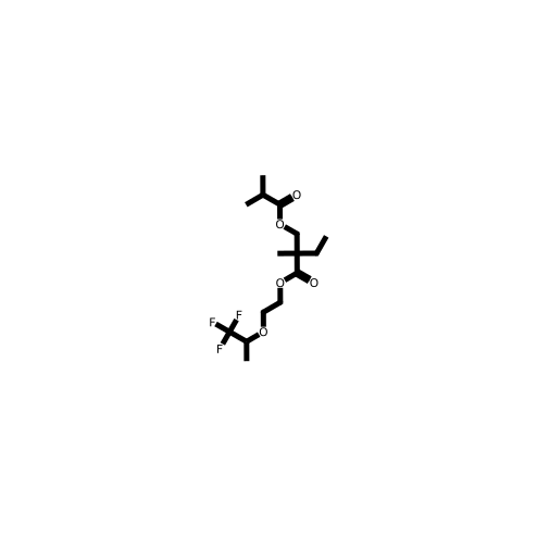 CCC(C)(COC(=O)C(C)C)C(=O)OCCOC(C)C(F)(F)F